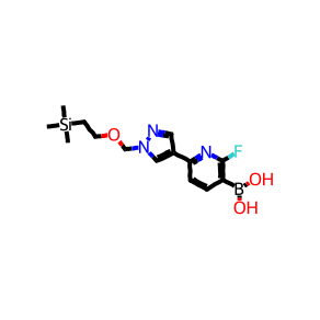 C[Si](C)(C)CCOCn1cc(-c2ccc(B(O)O)c(F)n2)cn1